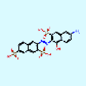 Nc1ccc2c(O)c(N=Nc3cc4ccc(S(=O)(=O)O)cc4cc3S(=O)(=O)O)c(S(=O)(=O)O)cc2c1